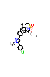 COCN1[C@@]2(CCCS1(=O)=O)[C@@H]1CC[C@H]2Cc2ccc(-c3cc(-c4ccc(Cl)cc4)n(C)n3)cc2C1